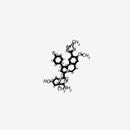 COc1cc2c(cc1-c1nnn(C)n1)-c1c(-c3ccc(F)cc3)cc(C(=O)N3C[C@@H](O)C[C@]3(C)C(N)=O)n1CC2